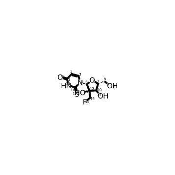 O=c1ccn([C@@H]2O[C@H](CO)C(O)[C@]2(O)CF)c(=S)[nH]1